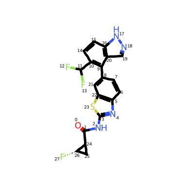 O=C(Nc1nc2ccc(-c3c(C(F)F)ccc4[nH]ncc34)cc2s1)C1C[C@@H]1F